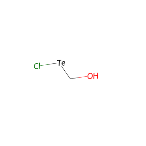 OC[Te]Cl